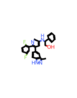 Cc1n[nH]c2ccc(-c3cc(NC(CO)c4ccccc4)cnc3-c3cc(F)ccc3F)cc12